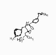 CC(=O)Nc1ccc(C(=O)N[C@H](Cc2ccc(C)cc2)C(=O)C[C@H](C)C(=O)O)cc1